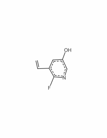 C=Cc1cc(O)cnc1F